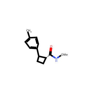 CONC(=O)[C@@H]1CCC1c1ccc(C)cc1